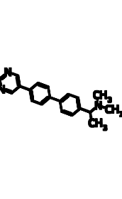 CC(c1ccc(-c2ccc(-c3cncnc3)cc2)cc1)N(C)C